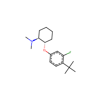 CN(C)[C@H]1CCCC[C@@H]1Oc1ccc(C(C)(C)C)c(F)c1